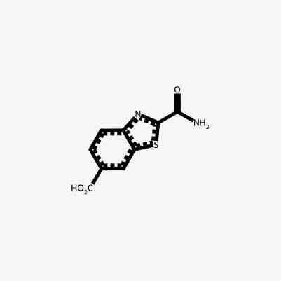 NC(=O)c1nc2ccc(C(=O)O)cc2s1